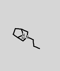 CCCN1CC2CCC(C1)N2